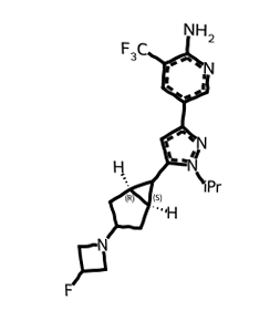 CC(C)n1nc(-c2cnc(N)c(C(F)(F)F)c2)cc1C1[C@H]2CC(N3CC(F)C3)C[C@@H]12